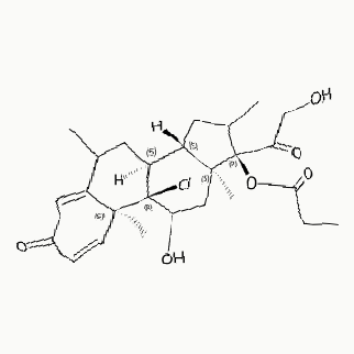 CCC(=O)O[C@]1(C(=O)CO)C(C)C[C@H]2[C@@H]3CC(C)C4=CC(=O)C=C[C@]4(C)[C@@]3(Cl)C(O)C[C@@]21C